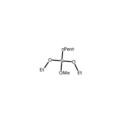 CCCC[CH][Si](OC)(OCC)OCC